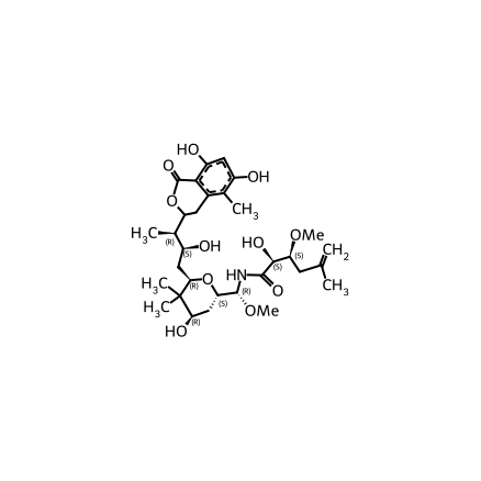 C=C(C)C[C@H](OC)[C@H](O)C(=O)N[C@H](OC)[C@@H]1C[C@@H](O)C(C)(C)[C@@H](C[C@H](O)[C@@H](C)C2Cc3c(C)c(O)cc(O)c3C(=O)O2)O1